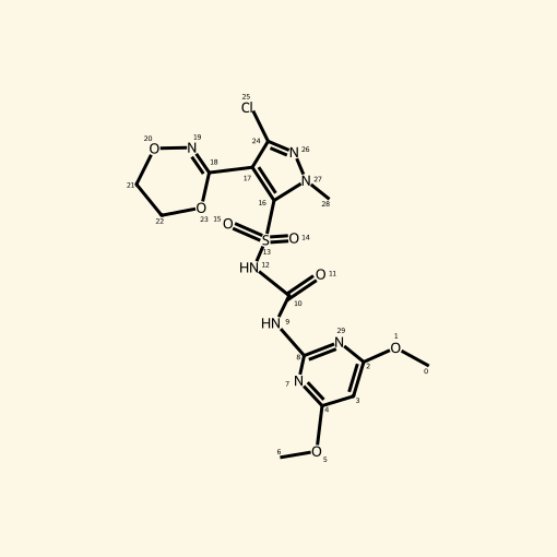 COc1cc(OC)nc(NC(=O)NS(=O)(=O)c2c(C3=NOCCO3)c(Cl)nn2C)n1